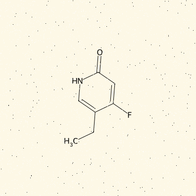 CCc1c[nH]c(=O)cc1F